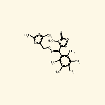 Cc1nc(CON=C(c2c(C)c(C)c(C)c(C)c2C)c2noc(=O)n2C)c(C)s1